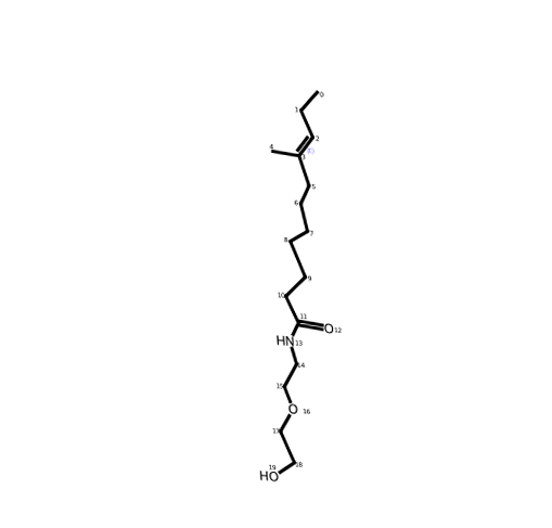 CC/C=C(\C)CCCCCCC(=O)NCCOCCO